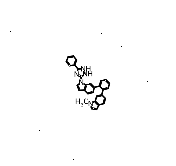 Cn1ccc2ccc(-c3ccccc3-c3ccc4ccn(C5=NC(c6ccccc6)NN5)c4c3)cc21